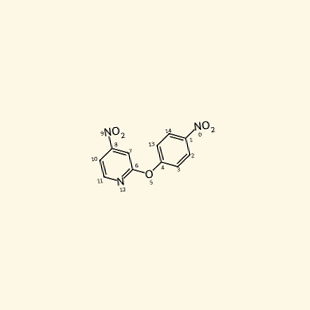 O=[N+]([O-])c1ccc(Oc2cc([N+](=O)[O-])ccn2)cc1